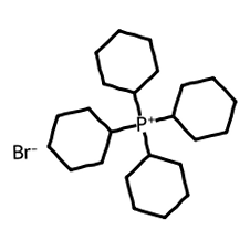 C1CCC([P+](C2CCCCC2)(C2CCCCC2)C2CCCCC2)CC1.[Br-]